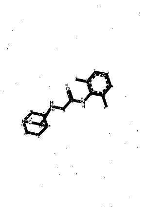 Cc1cccc(C)c1NC(=O)CNC1CN2CCC1CC2